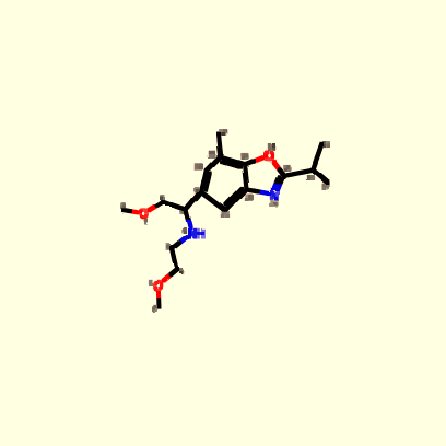 COCCNC(COC)c1cc(C)c2oc(C(C)C)nc2c1